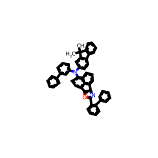 CC1(C)c2ccccc2-c2ccc(N(c3cccc(-c4ccccc4)c3)c3ccc4c5c(cccc35)-c3nc(-c5ccccc5-c5ccccc5)oc3-4)cc21